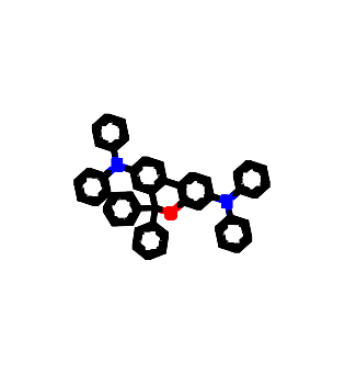 c1ccc(N(c2ccccc2)c2ccc3c(c2)OC(c2ccccc2)(c2ccccc2)c2cc(N(c4ccccc4)c4ccccc4)ccc2-3)cc1